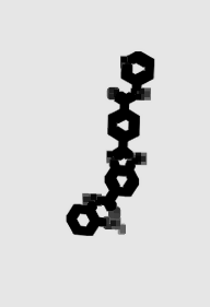 CC1CCCCC1NC(=O)c1ccc2[nH]c(-c3ccc(C(=O)Nc4cccnc4)cc3)nc2c1